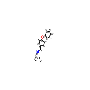 C=C=NCc1ccc(Oc2ccccc2)cc1